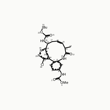 COC(=O)Nc1ccc2c(c1)NC(=O)C(C)C=CC[C@H](NC(=O)OC(C)(C)C)c1cc-2c(Cl)nn1